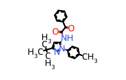 Cc1ccc(-n2nc(C(C)(C)C)cc2NC(=O)C(=O)c2ccccc2)cc1